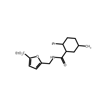 CCOC(=O)c1ccc(CNC(=O)C2CC(C)CCC2C(C)C)o1